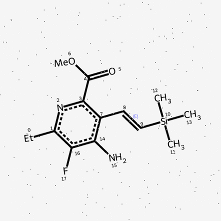 CCc1nc(C(=O)OC)c(/C=C/[Si](C)(C)C)c(N)c1F